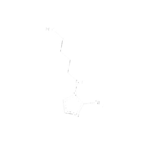 CCCCCNn1ccnc1N